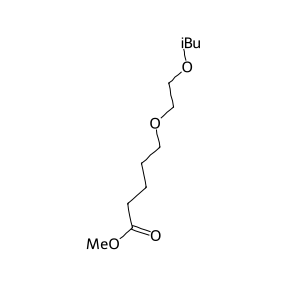 CCC(C)OCCOCCCCC(=O)OC